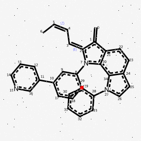 C=c1/c(=C\C=C/C)n(-c2cc(-c3cccnc3)ccn2)c2c1ccc1ccn(-c3ccccc3)c12